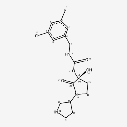 O=C(NCc1cc(F)cc(Cl)c1)O[C@]1(O)CCN(C2CCNC2)C1=O